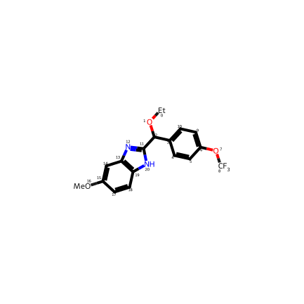 CCOC(c1ccc(OC(F)(F)F)cc1)c1nc2cc(OC)ccc2[nH]1